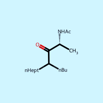 CCCCCCCC(CCCC)C(=O)[C@@H](C)NC(C)=O